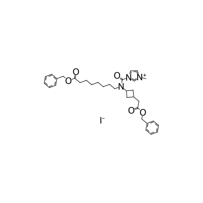 C[n+]1ccn(C(=O)N(CCCCCCCC(=O)OCc2ccccc2)C2CC(CC(=O)OCc3ccccc3)C2)c1.[I-]